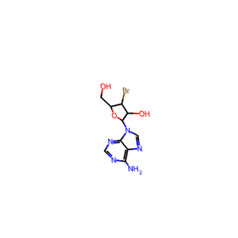 Nc1ncnc2c1ncn2C1OC(CO)C(Br)C1O